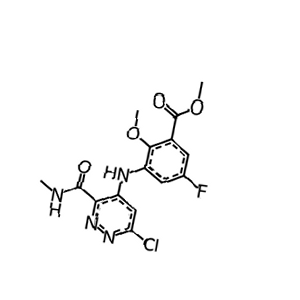 CNC(=O)c1nnc(Cl)cc1Nc1cc(F)cc(C(=O)OC)c1OC